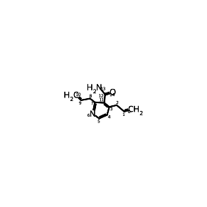 C=CCc1ccnc(CC=C)c1C(N)=O